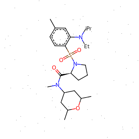 CCN(c1cc(C)ccc1S(=O)(=O)N1CCC[C@H]1C(=O)N(C)C1CC(C)OC(C)C1)C(C)C